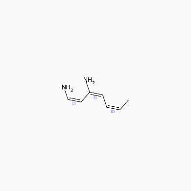 C\C=C/C=C(N)\C=C/N